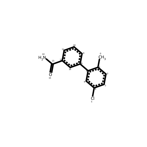 Cc1ccc(Cl)cc1-c1cccc(C(N)=O)c1